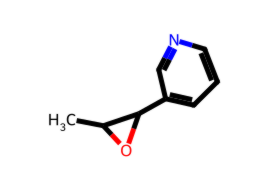 CC1OC1c1cccnc1